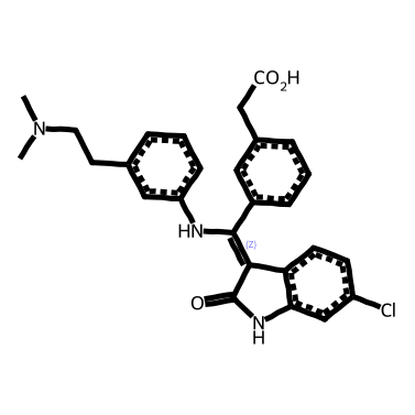 CN(C)CCc1cccc(N/C(=C2\C(=O)Nc3cc(Cl)ccc32)c2cccc(CC(=O)O)c2)c1